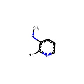 C[N]c1cccnc1C